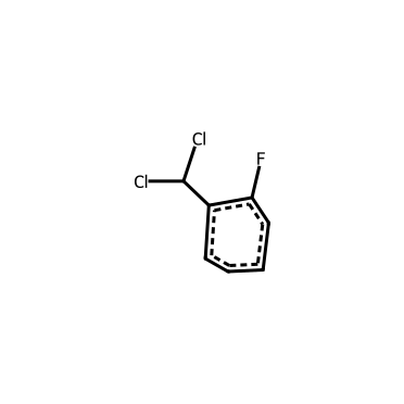 Fc1ccccc1C(Cl)Cl